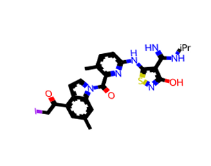 Cc1cc(C(=O)CI)c2ccn(C(=O)c3nc(Nc4snc(O)c4C(=N)NC(C)C)ccc3C)c2c1